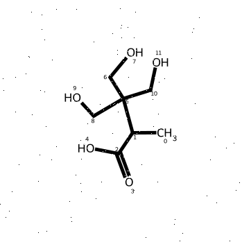 CC(C(=O)O)C(CO)(CO)CO